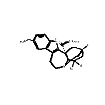 CC[C@H]1C[C@@H]2CN3CCc4c([nH]c5ccc(OC)cc45)[C@@](C(=O)OC)(C2)C13